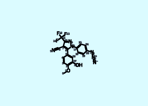 COc1ccc(-c2c(C#N)c(C(F)(F)F)nn2-c2ccc(N=[N+]=[N-])cc2)cc1O